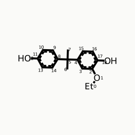 CCOc1cc(C(C)(C)c2ccc(O)cc2)ccc1O